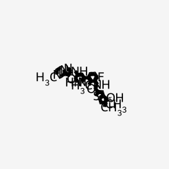 Cc1c(-c2cc(Nc3cc4n(n3)CCN(C)C4)c(=O)[nH]n2)ccc(F)c1NC(=O)c1cc2c(s1)CC(C)(C)[C@H]2O